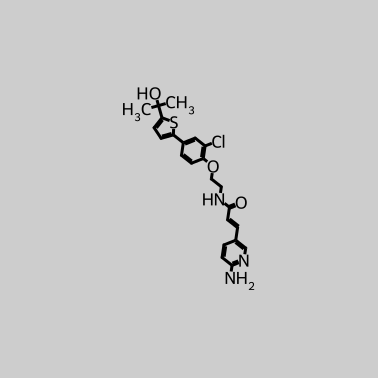 CC(C)(O)c1ccc(-c2ccc(OCCNC(=O)C=Cc3ccc(N)nc3)c(Cl)c2)s1